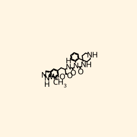 COC(=O)C(Cc1cc(C)c2[nH]ncc2c1)NC(=O)N1C(=O)NC2(CCNCC2)c2ccccc21